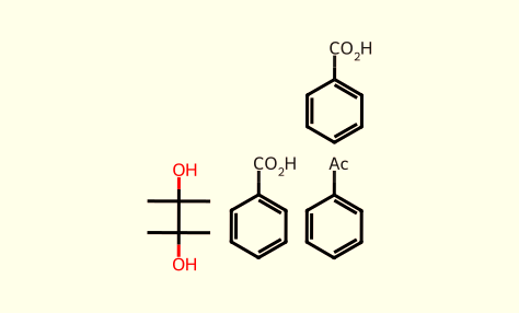 CC(=O)c1ccccc1.CC(C)(O)C(C)(C)O.O=C(O)c1ccccc1.O=C(O)c1ccccc1